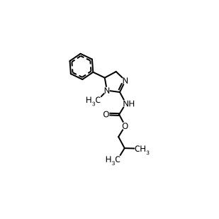 CC(C)COC(=O)NC1=NCC(c2ccccc2)N1C